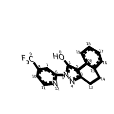 Oc1c2c(nn1-c1cc(C(F)(F)F)ccn1)CCc1ccccc1-2